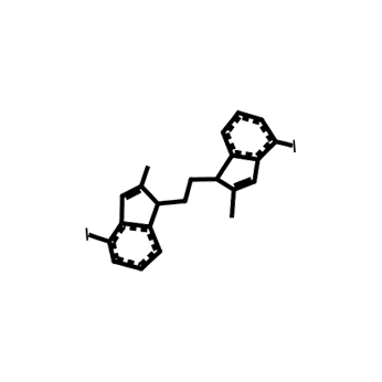 CC1=Cc2c(I)cccc2C1CCC1C(C)=Cc2c(I)cccc21